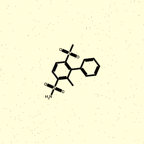 Cc1c(S(N)(=O)=O)ccc(S(C)(=O)=O)c1-c1ccccc1